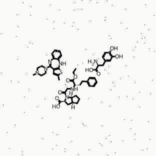 CCOC(=O)[C@H](CCc1ccccc1)N[C@@H](C)C(=O)N1[C@H](C(=O)O)C[C@@H]2CCC[C@@H]21.Cc1cc2c(s1)Nc1ccccc1N=C2N1CCN(C)CC1.N[C@@H](Cc1ccc(O)c(O)c1)C(=O)O